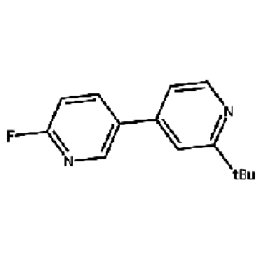 CC(C)(C)c1cc(-c2ccc(F)nc2)ccn1